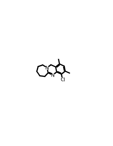 Cc1cc(C)c2c(c1Cl)N=C1CCCCCN1C2